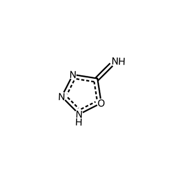 N=c1nn[nH]o1